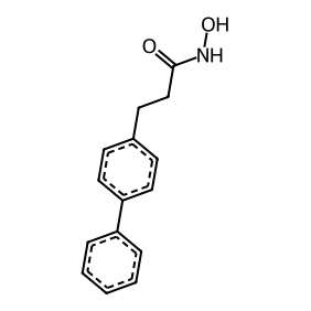 O=C(CCc1ccc(-c2ccccc2)cc1)NO